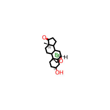 C[C@]12CCC3C(C[C@H]4OC[C@@]35CC[C@H](O)C[C@]45Br)C1CCC2=O